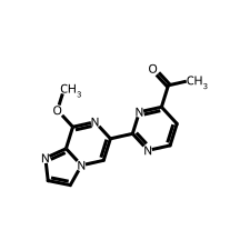 COc1nc(-c2nccc(C(C)=O)n2)cn2ccnc12